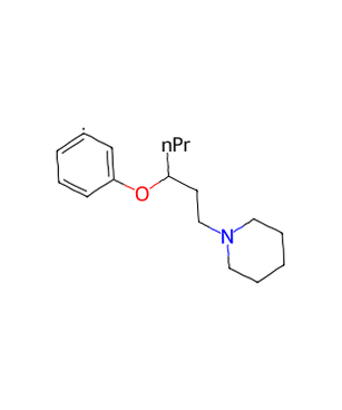 CCCC(CCN1CCCCC1)Oc1c[c]ccc1